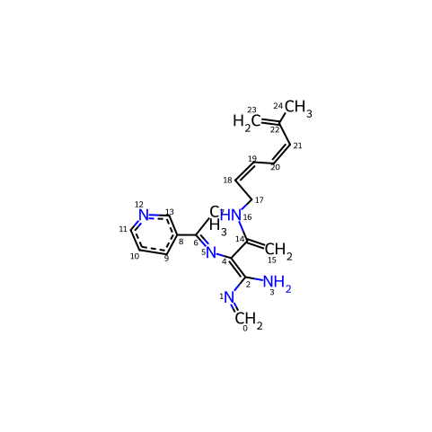 C=N/C(N)=C(\N=C(/C)c1cccnc1)C(=C)NC/C=C\C=C/C(=C)C